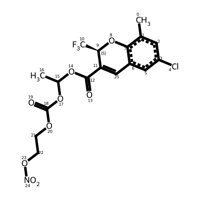 Cc1cc(Cl)cc2c1O[C@H](C(F)(F)F)C(C(=O)OC(C)OC(=O)OCCO[N+](=O)[O-])=C2